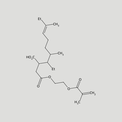 C=C(C)C(=O)OCCOC(=O)CC(C(=O)O)C(CC)C(C)CCC=C(C)CC